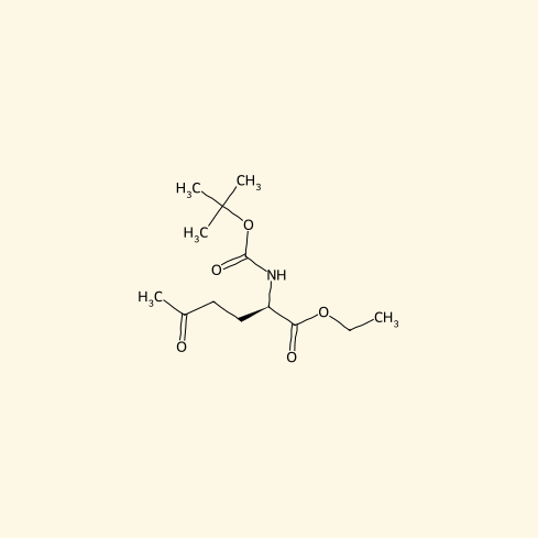 CCOC(=O)[C@@H](CCC(C)=O)NC(=O)OC(C)(C)C